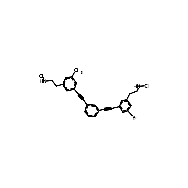 Cc1cc(C#Cc2cccc(C#Cc3cc(Br)cc(CCNCl)c3)c2)cc(CCNCl)c1